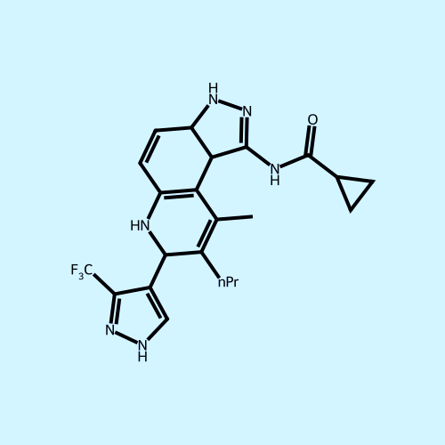 CCCC1=C(C)C2=C(C=CC3NN=C(NC(=O)C4CC4)C23)NC1c1c[nH]nc1C(F)(F)F